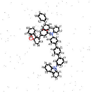 c1ccc(-c2cccc(-c3ccccc3N(c3ccc(-c4ccc(-c5cccc(-n6c7ccccc7c7ccccc76)c5)cc4)cc3)c3cccc(-c4cccc5oc6ccccc6c45)c3)c2)cc1